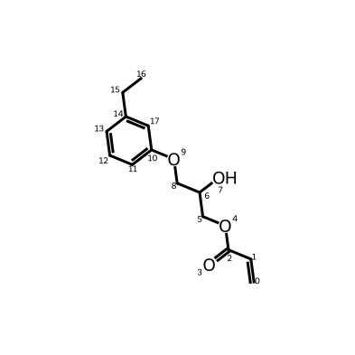 C=CC(=O)OCC(O)COc1cccc(CC)c1